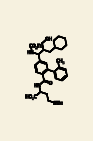 CCOC(=O)NC(c1ccc(C(=O)NC(CCSC)C(=O)O)c(-c2ccccc2C)c1)C(CO)CC1CCCCC1